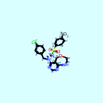 CN(Cc1ccc(Cl)cc1)c1ncnc2c1[C@H](N(C)S(=O)(=O)c1ccc([N+](=O)[O-])cc1)OCCN2